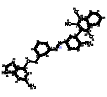 N#Cc1c(-c2cc(/N=N/c3cccc(COc4nc(N)nc5[nH]cnc45)c3)ccc2N)[n+]([O-])c2ccccc2[n+]1[O-]